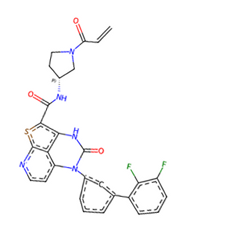 C=CC(=O)N1CC[C@@H](NC(=O)c2sc3nccc4c3c2NC(=O)N4c2cccc(-c3cccc(F)c3F)c2)C1